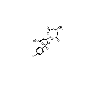 CCCCC=CC(NS(=O)(=O)c1ccc(Br)cc1)B1OC(=O)CN(C)CC(=O)O1